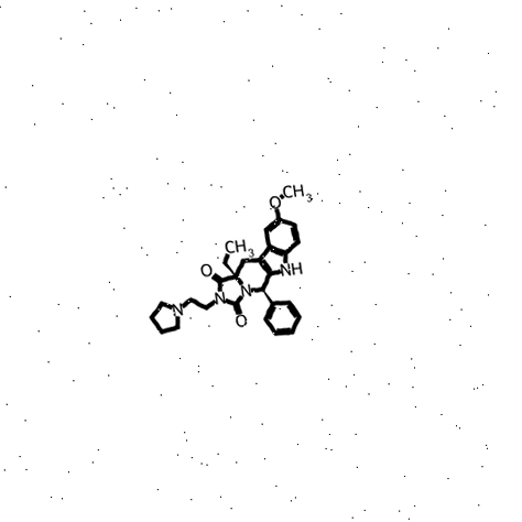 CC[C@@]12Cc3c([nH]c4ccc(OC)cc34)[C@@H](c3ccccc3)N1C(=O)N(CCN1CCCC1)C2=O